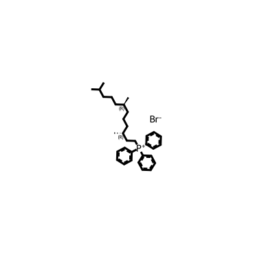 CC(C)CCC[C@@H](C)CCC[C@@H](C)CC[P+](c1ccccc1)(c1ccccc1)c1ccccc1.[Br-]